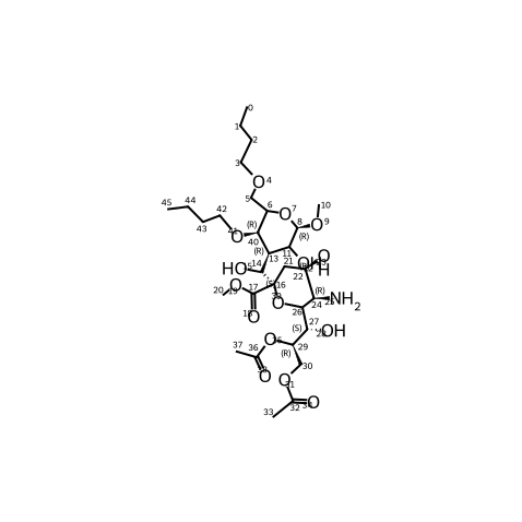 CCCCOCC1O[C@@H](OC)C(O)[C@@H](C(O)[C@]2(C(=O)OC)C[C@@H](O)[C@@H](N)C([C@H](O)[C@@H](COC(C)=O)OC(C)=O)O2)[C@H]1OCCCC